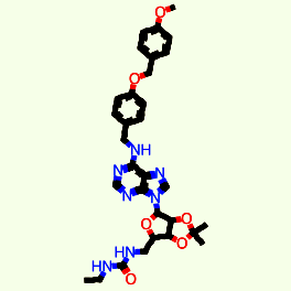 CCNC(=O)NCC1OC(n2cnc3c(NCc4ccc(OCc5ccc(OC)cc5)cc4)ncnc32)C2OC(C)(C)OC12